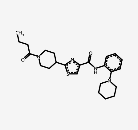 CCCC(=O)N1CCC(c2nc(C(=O)Nc3ccccc3N3CCCCC3)cs2)CC1